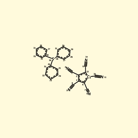 N#Cc1c(C#N)c(C#N)[c-](C#N)c1C#N.c1ccc([S+](c2ccccc2)c2ccccc2)cc1